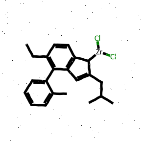 CCc1ccc2c(c1-c1ccccc1C)C=C(CC(C)C)[CH]2[Zr]([Cl])[Cl]